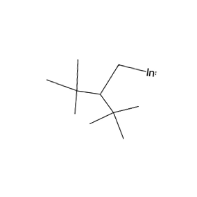 CC(C)(C)C([CH2][In])C(C)(C)C